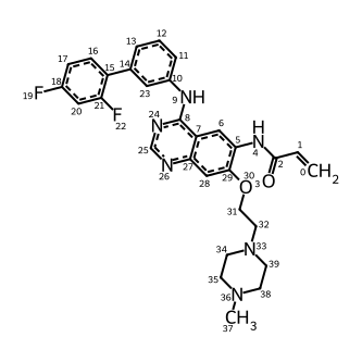 C=CC(=O)Nc1cc2c(Nc3cccc(-c4ccc(F)cc4F)c3)ncnc2cc1OCCN1CCN(C)CC1